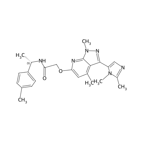 Cc1ccc([C@H](C)NC(=O)COc2cc(C)c3c(-c4cnc(C)n4C)nn(C)c3n2)cc1